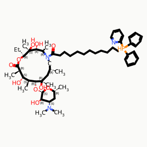 CC[C@H]1OC(=O)[C@H](C)[C@@H](O)[C@H](C)[C@@H](O[C@@H]2O[C@H](C)C[C@H](N(C)C)[C@H]2O)[C@](C)(O)C[C@@H](C)CN(C(=O)CCCCCCCCCCC[PH](c2ccccc2)(c2ccccc2)c2ccccn2)[C@H](C)[C@@H](O)[C@]1(C)O